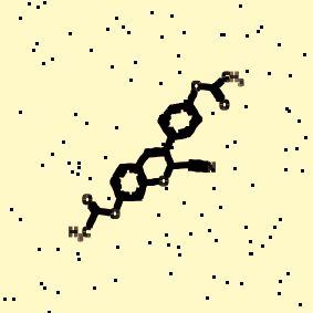 CC(=O)Oc1ccc(C2=Cc3ccc(OC(C)=O)cc3OC2C#N)cc1